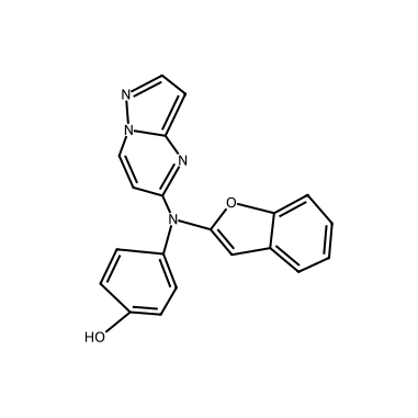 Oc1ccc(N(c2ccn3nccc3n2)c2cc3ccccc3o2)cc1